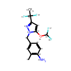 Cc1cc(Cn2nc(C(F)(F)C(F)(F)F)cc2OC(F)F)ccc1N